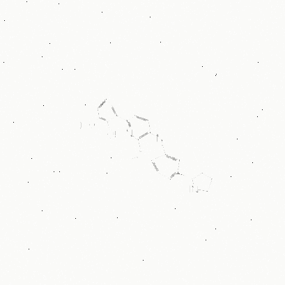 COc1nc(-c2cccc(O)c2O)ccc1Nc1cccc([C@H]2CCCN2)c1